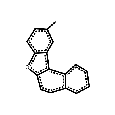 Cc1ccc2oc3ccc4ccccc4c3c2c1